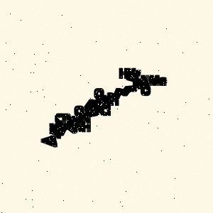 CNC(=O)N(CCCCCCNC(=O)c1ccc(NC(=O)c2ncc(-c3cn(C4CC4)nc3C(F)(F)F)n2C)cc1Cl)C1CNC1